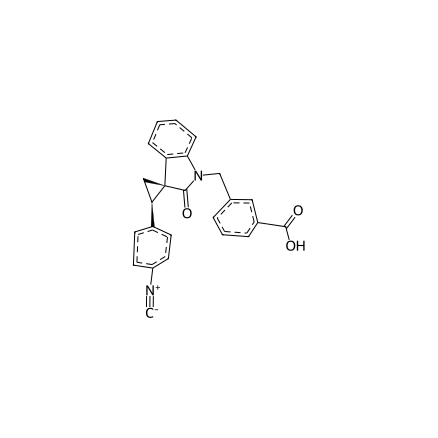 [C-]#[N+]c1ccc([C@H]2C[C@@]23C(=O)N(Cc2cccc(C(=O)O)c2)c2ccccc23)cc1